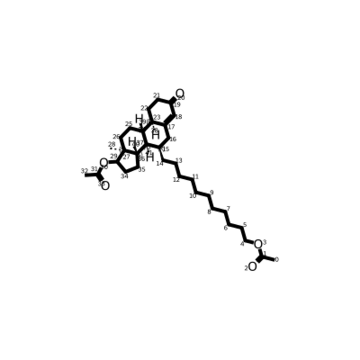 CC(=O)OCCCCCCCCCCC[C@@H]1CC2=CC(=O)CC[C@@H]2[C@H]2CC[C@]3(C)C(OC(C)=O)CC[C@H]3[C@H]12